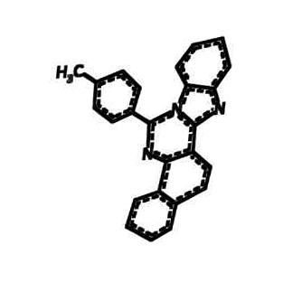 Cc1ccc(-c2nc3c4ccccc4ccc3c3nc4ccccc4n23)cc1